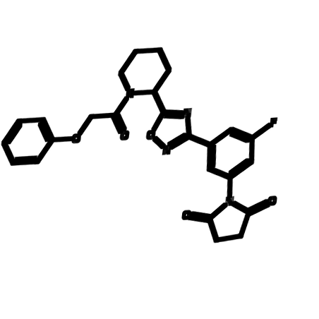 O=C1CCC(=O)N1c1cc(F)cc(-c2noc(C3CCCCN3C(=O)COc3ccccc3)n2)c1